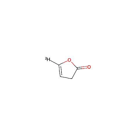 [2H]C1=CCC(=O)O1